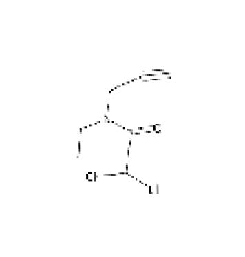 C#CCN(CC)C(=O)C(Cl)Cl